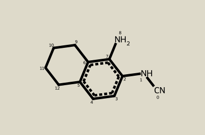 N#CNc1ccc2c(c1N)CCCC2